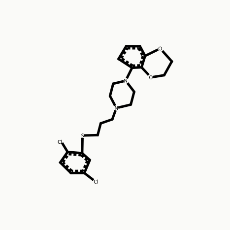 Clc1ccc(Cl)c(SCCCN2CCN(c3cccc4c3OCCO4)CC2)c1